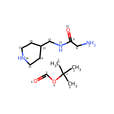 CC(C)(C)OC=O.NCC(=O)NCC1CCNCC1